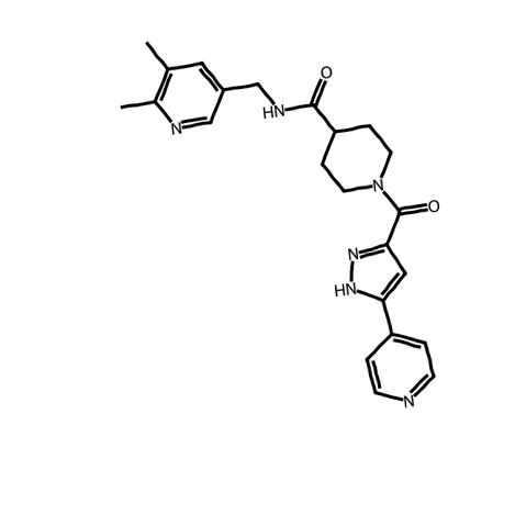 Cc1cc(CNC(=O)C2CCN(C(=O)c3cc(-c4ccncc4)[nH]n3)CC2)cnc1C